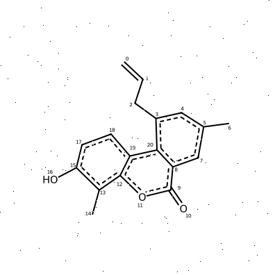 C=CCc1cc(C)cc2c(=O)oc3c(C)c(O)ccc3c12